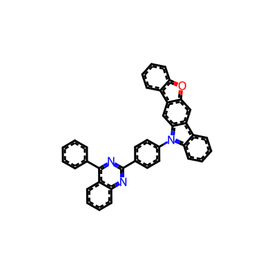 c1ccc(-c2nc(-c3ccc(-n4c5ccccc5c5cc6oc7ccccc7c6cc54)cc3)nc3ccccc23)cc1